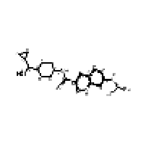 O=C(NC1CCC(C(O)C2CC2)CC1)c1cnc2cc(OC(F)F)ccc2c1